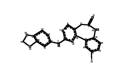 O=C1Cc2cnc(Nc3ccc4c(c3)OCO4)nc2-c2cc(I)ccc2N1